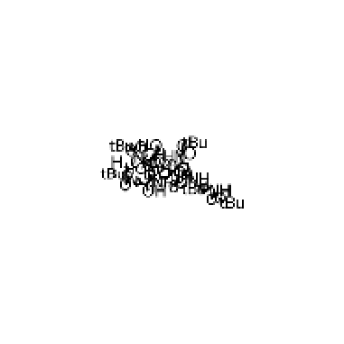 C[C@@H]([C@@H](O)[C@H](OCCO)O[C@@H]1[C@@H](O)[C@H](O[C@H]2OC(CNC[C@H]3C[C@H](NC(=O)OC(C)(C)C)C3)=CC[C@H]2NC(=O)OC(C)(C)C)[C@@H](NC(=O)OC(C)(C)C)C[C@H]1NC(=O)C(O)C1CN(C(=O)OC(C)(C)C)C1)N(C)C(=O)OC(C)(C)C